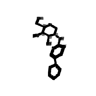 OC[C@H]1OC[C@H](Nc2ncc(-c3ccccc3)cn2)[C@@H](O)[C@H]1O